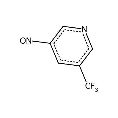 O=Nc1cncc(C(F)(F)F)c1